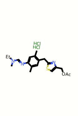 CCN(C)C=Nc1cc(C)c(Cc2nc(COC(C)=O)cs2)cc1C.Cl.Cl